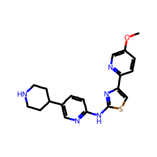 COc1ccc(-c2csc(Nc3ccc(C4CCNCC4)cn3)n2)nc1